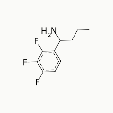 CCCC(N)c1ccc(F)c(F)c1F